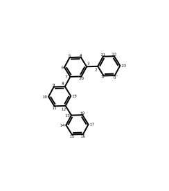 [c]1[c]c(-c2cccc(-c3cccc(-c4ccccc4)c3)c2)ccc1